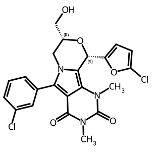 Cn1c(=O)c2c(-c3cccc(Cl)c3)n3c(c2n(C)c1=O)[C@@H](c1ccc(Cl)o1)O[C@@H](CO)C3